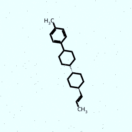 C/C=C/[C@H]1CC[C@H](C2CCC(c3ccc(C)cc3)CC2)CC1